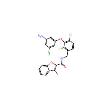 Cc1c(C(=O)NCc2ccc(Cl)c(Oc3cc(N)cc(Cl)c3)c2F)oc2ccccc12